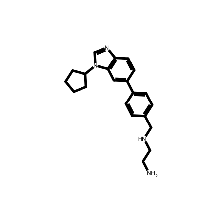 NCCNCc1ccc(-c2ccc3ncn(C4CCCC4)c3c2)cc1